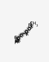 CC/C(F)=C(\F)c1ccc(-c2ccc(CCc3ccc(-c4cc(F)c(OC(F)F)c(F)c4)cc3)c(F)c2)cc1